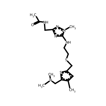 CC(=O)NCc1nc(NCCSCc2cc(C)c(CN(C)C)s2)n(C)n1